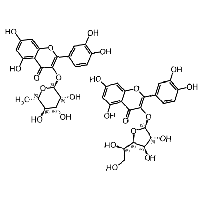 C[C@@H]1O[C@@H](Oc2c(-c3ccc(O)c(O)c3)oc3cc(O)cc(O)c3c2=O)[C@H](O)[C@H](O)[C@H]1O.O=c1c(O[C@@H]2O[C@H]([C@H](O)CO)[C@H](O)[C@H]2O)c(-c2ccc(O)c(O)c2)oc2cc(O)cc(O)c12